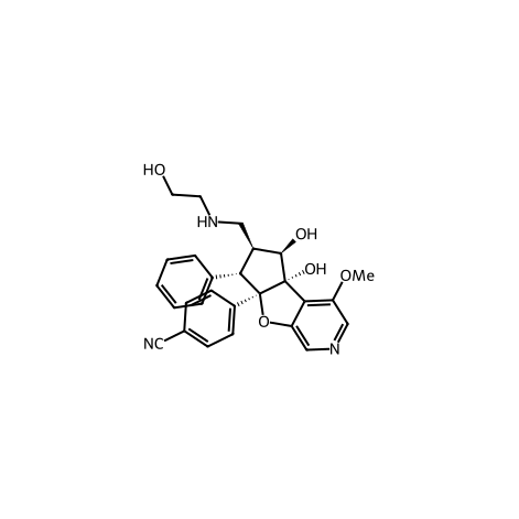 COc1cncc2c1[C@]1(O)[C@H](O)[C@H](CNCCO)[C@@H](c3ccccc3)[C@]1(c1ccc(C#N)cc1)O2